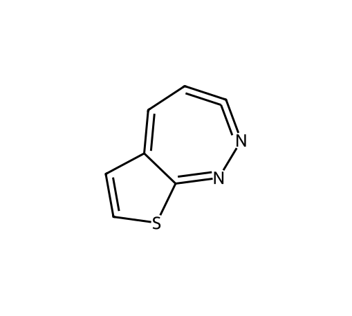 C1=CC=c2ccsc2=NN=1